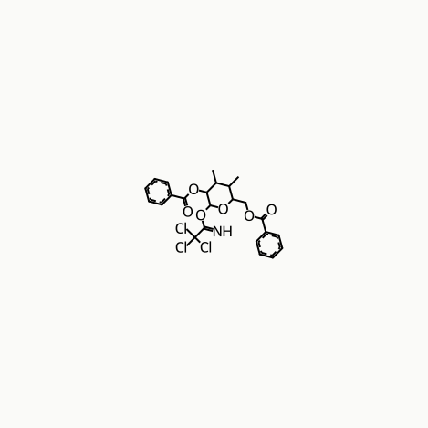 CC1C(COC(=O)c2ccccc2)OC(OC(=N)C(Cl)(Cl)Cl)C(OC(=O)c2ccccc2)C1C